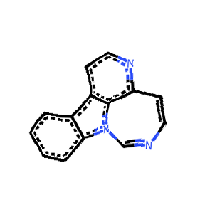 C1=Cc2nccc3c4ccccc4n(c23)C=N1